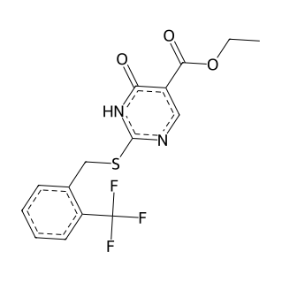 CCOC(=O)c1cnc(SCc2ccccc2C(F)(F)F)[nH]c1=O